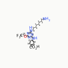 NCCCCCCCCNc1nc(Nc2ccc(C(=O)O)cc2)nc(OCC(F)(F)F)n1